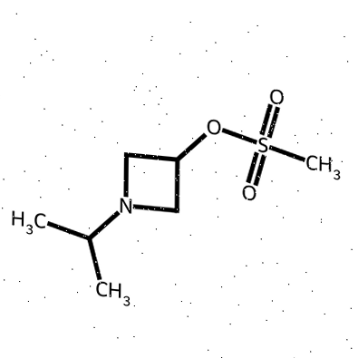 CC(C)N1CC(OS(C)(=O)=O)C1